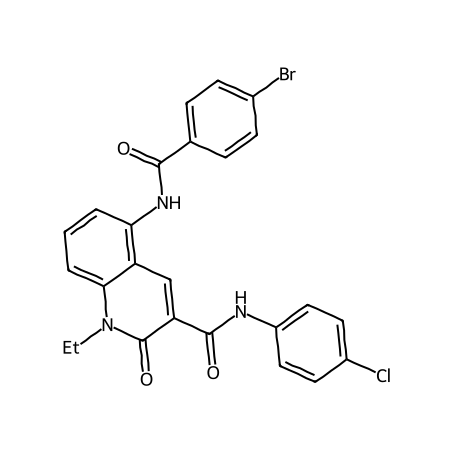 CCn1c(=O)c(C(=O)Nc2ccc(Cl)cc2)cc2c(NC(=O)c3ccc(Br)cc3)cccc21